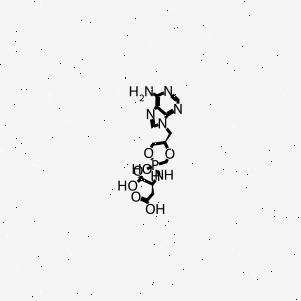 Nc1ncnc2c1ncn2C[C@@H]1CO[PH](O)(N[C@@H](CC(=O)O)C(=O)O)CO1